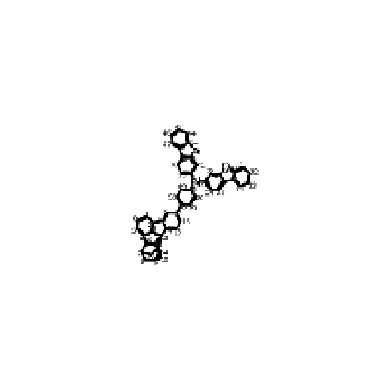 c1cc2c3c(c1)C1C4CC5CC(C4)C3(c3ccc(-c4ccc(N(c6ccc7c(c6)oc6ccccc67)c6ccc7c(c6)sc6ccccc67)cc4)cc3-2)C1C5